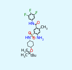 Cc1cc(N)c(S(=O)(=O)N[C@H]2CC[C@H](O[Si](C)(C)C(C)(C)C)CC2)cc1C(=O)Nc1cc(F)c(F)c(F)c1